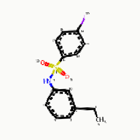 CCc1cccc(NS(=O)(=O)c2ccc(I)cc2)c1